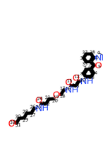 CNC1=C(C(=O)c2ccc(NC(=O)CC(=O)NCCOCCCC(=O)NCCCCCC=O)cc2)CCCC1